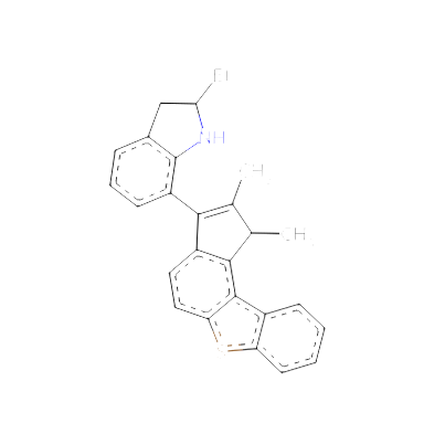 CCC1Cc2cccc(C3=C(C)C(C)c4c3ccc3sc5ccccc5c43)c2N1